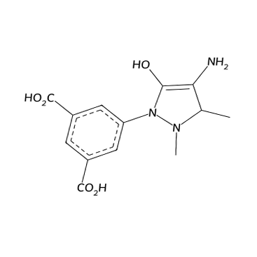 CC1C(N)=C(O)N(c2cc(C(=O)O)cc(C(=O)O)c2)N1C